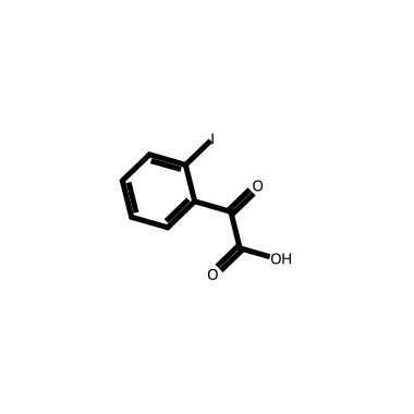 O=C(O)C(=O)c1ccccc1I